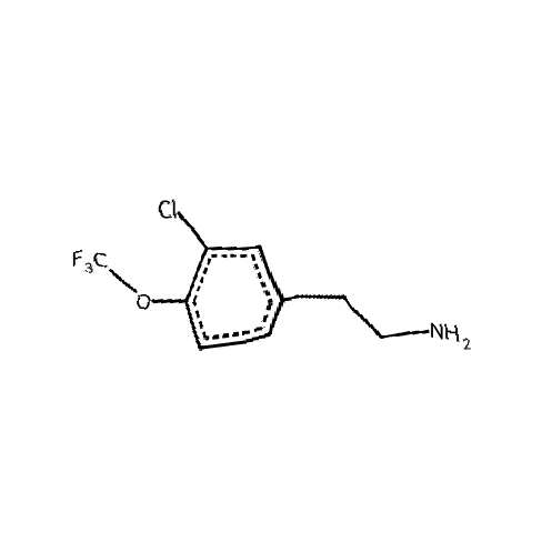 NCCc1ccc(OC(F)(F)F)c(Cl)c1